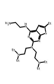 CCc1cc2c(NCCN)nc(N(CCN(CC)CC)CCN(CC)CC)nc2s1